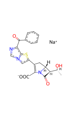 C[C@@H](O)[C@H]1C(=O)N2C(C(=O)[O-])=C(c3cn4cnc(C(=O)c5ccccc5)c4s3)C[C@H]12.[Na+]